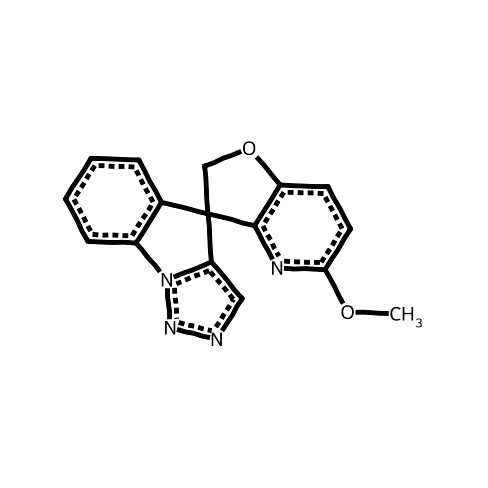 COc1ccc2c(n1)C1(CO2)c2ccccc2-n2nncc21